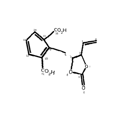 C=CC1COC(=O)O1.Cc1c(C(=O)O)cccc1C(=O)O